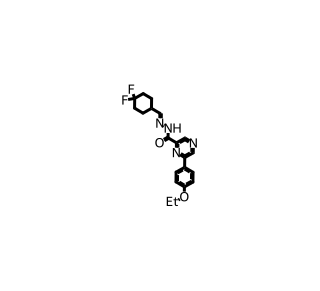 CCOc1ccc(-c2cncc(C(=O)NN=CC3CCC(F)(F)CC3)n2)cc1